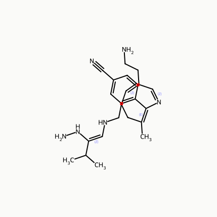 C\C1=C(c2ccc(C#N)cc2CN/C=C(\NN)C(C)C)/N=C\C(CCN)=C/CC1